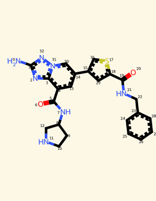 Nc1nc2c(C(=O)NC3CCNC3)cc(-c3csc(C(=O)NCc4ccccc4)c3)cn2n1